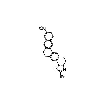 CC(C)c1nc2c([nH]1)-c1cc3c(cc1CC2)-c1cc2ccc(C(C)(C)C)cc2cc1CC3